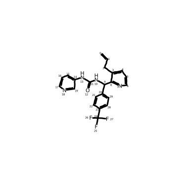 C=CCc1cccnc1C(NC(=O)Nc1cccnc1)c1ccc(C(F)(F)F)cc1